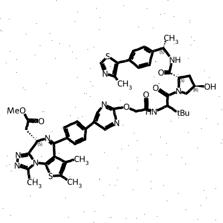 COC(=O)C[C@@H]1N=C(c2ccc(-c3cnc(OCC(=O)NC(C(=O)N4C[C@H](O)C[C@H]4C(=O)N[C@@H](C)c4ccc(-c5scnc5C)cc4)C(C)(C)C)nc3)cc2)c2c(sc(C)c2C)-n2c(C)nnc21